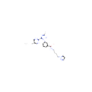 CCc1nc(-c2ncc(OC)cn2)n(-c2cccc(C(=O)NCCCCn3cccn3)c2)n1